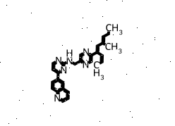 C\C=C/C(=C\C(C)=C\CC)c1cnc(CNc2nccc(-c3ccc4ncccc4c3)n2)cn1